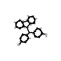 Clc1ccc(C(c2ccc(Cl)cc2)C2c3ccccc3-c3ccccc32)cc1